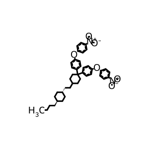 CCCC[C@H]1CC[C@H](CCC2CCC(c3ccc(Oc4ccc([N+](=O)[O-])cc4)cc3)(c3ccc(Oc4ccc([N+](=O)[O-])cc4)cc3)CC2)CC1